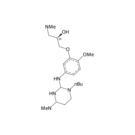 CCCCN1CCC(NC)NC1Nc1ccc(OC)c(OC[C@H](O)CNC)c1